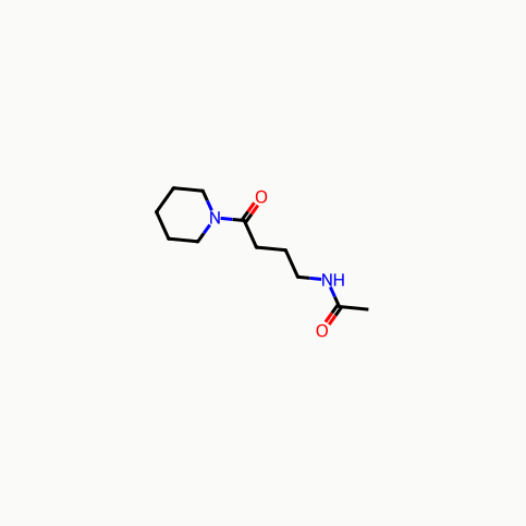 CC(=O)NCCCC(=O)N1CCCCC1